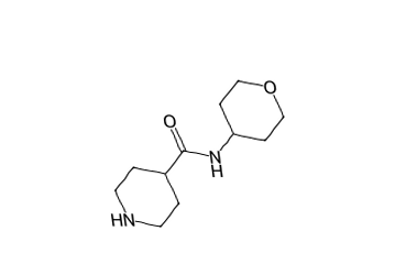 O=C(NC1CCOCC1)C1CCNCC1